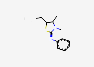 CC1C(CC(=O)O)SC(=Nc2ccccc2)N1C